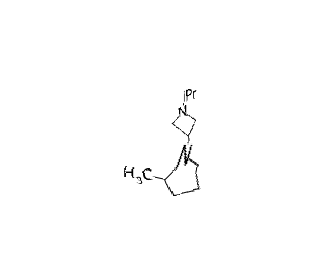 CC(C)N1CC(N2CCCC2C)C1